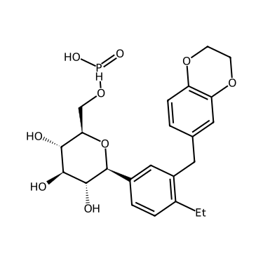 CCc1ccc([C@@H]2O[C@H](CO[PH](=O)O)[C@@H](O)[C@H](O)[C@H]2O)cc1Cc1ccc2c(c1)OCCO2